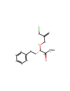 C=C(CCl)CO[C@@H](CCc1ccccc1)C(=O)OC